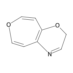 C1=CC2=C(C=CO1)OCC=N2